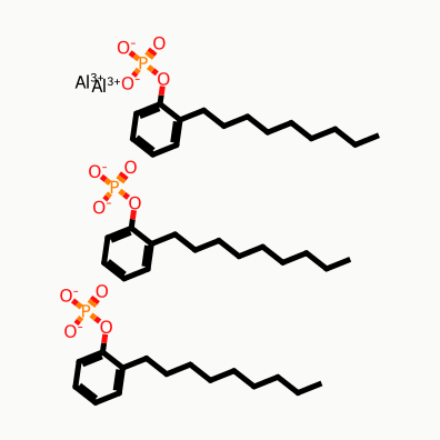 CCCCCCCCCc1ccccc1OP(=O)([O-])[O-].CCCCCCCCCc1ccccc1OP(=O)([O-])[O-].CCCCCCCCCc1ccccc1OP(=O)([O-])[O-].[Al+3].[Al+3]